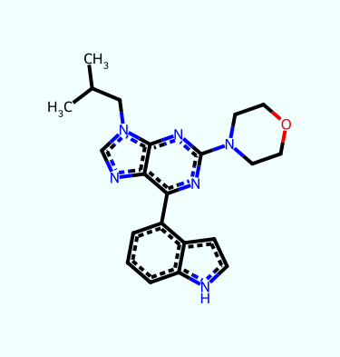 CC(C)Cn1cnc2c(-c3cccc4[nH]ccc34)nc(N3CCOCC3)nc21